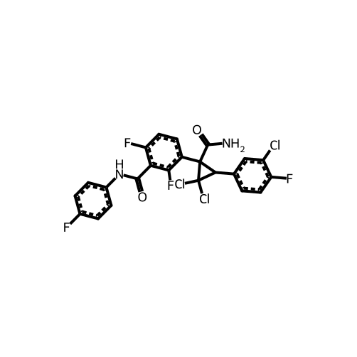 NC(=O)C1(c2ccc(F)c(C(=O)Nc3ccc(F)cc3)c2F)C(c2ccc(F)c(Cl)c2)C1(Cl)Cl